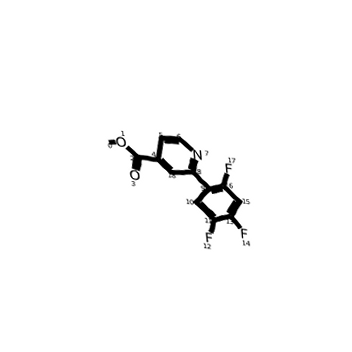 COC(=O)c1ccnc(-c2cc(F)c(F)cc2F)c1